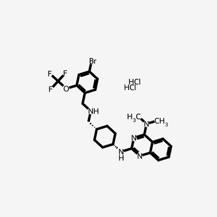 CN(C)c1nc(N[C@H]2CC[C@@H](CNCc3ccc(Br)cc3OC(F)(F)F)CC2)nc2ccccc12.Cl.Cl